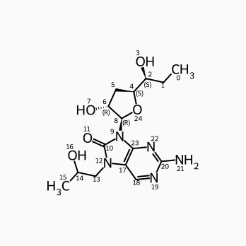 CC[C@H](O)[C@@H]1C[C@@H](O)[C@H](n2c(=O)n(CC(C)O)c3cnc(N)nc32)O1